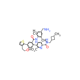 Cc1cc(CN)cc(C)c1NC(=O)c1cc2c(cc1-c1ccc(C(=O)NCC3CC(C)C3)nc1C(=O)O)OCCc1ccsc1-2